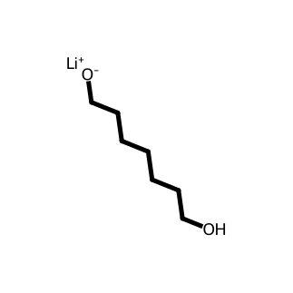 [Li+].[O-]CCCCCCCO